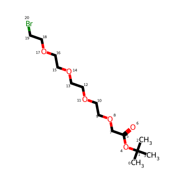 CC(C)(C)OC(=O)COCCOCCOCCOCCBr